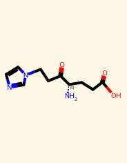 N[C@@H](CCC(=O)O)C(=O)CCn1ccnc1